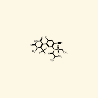 CCS(=O)(=O)N(C(=O)C(C)C)c1cc(-c2c(C(F)(F)F)n(C)c(=O)[nH]c2=O)c(F)cc1C#N